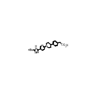 CCCCc1nnc(-c2ccc(N3CCC(c4ccc(CC(=O)O)cc4)CC3)nc2)[nH]1